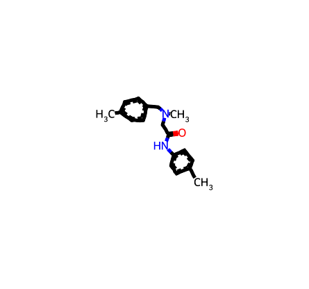 Cc1ccc(CN(C)CC(=O)Nc2ccc(C)cc2)cc1